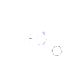 CC(NC(=NC#N)Nc1cccnc1)C(C)(C)C